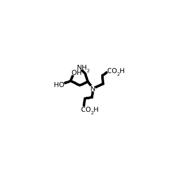 NCC(CC(O)O)N(CCC(=O)O)CCC(=O)O